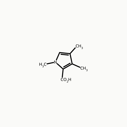 Cc1cn(C)c(C(=O)O)c1C